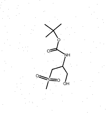 CC(C)(C)OC(=O)NC(CO)CS(C)(=O)=O